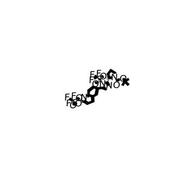 CC(C)(C)OC(=O)N1CCC[C@H]1c1ncc(-c2ccc3nc(OS(=O)(=O)C(F)(F)F)ccc3c2)n1S(=O)(=O)C(F)(F)F